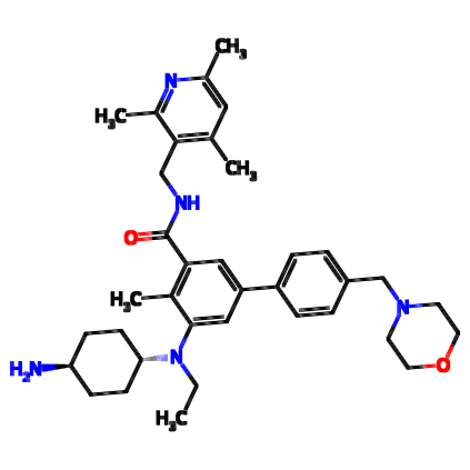 CCN(c1cc(-c2ccc(CN3CCOCC3)cc2)cc(C(=O)NCc2c(C)cc(C)nc2C)c1C)[C@H]1CC[C@H](N)CC1